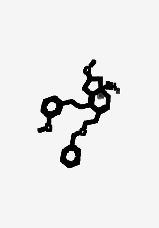 B[C@@]12CC=C(CCOCc3ccccc3)C(CCc3cccc(OC)c3)=C1CC(OC)C2